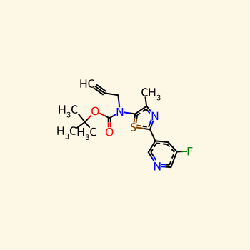 C#CCN(C(=O)OC(C)(C)C)c1sc(-c2cncc(F)c2)nc1C